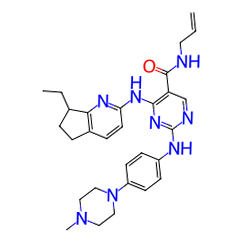 C=CCNC(=O)c1cnc(Nc2ccc(N3CCN(C)CC3)cc2)nc1Nc1ccc2c(n1)C(CC)CC2